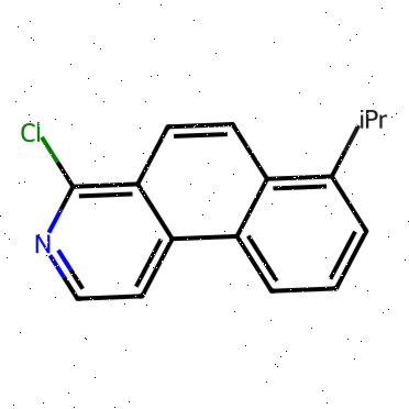 CC(C)c1cccc2c1ccc1c(Cl)nccc12